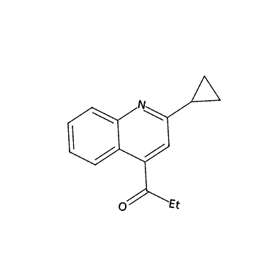 CCC(=O)c1cc(C2CC2)nc2ccccc12